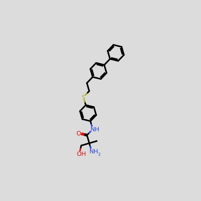 CC(N)(CO)C(=O)Nc1ccc(SCCc2ccc(-c3ccccc3)cc2)cc1